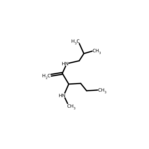 C=C(NCC(C)C)C(CCC)NC